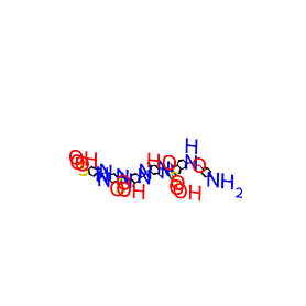 Cc1cc(N=Nc2c(SOOO)cc3cc(NCOc4ccc(N)cc4)ccc3c2O)c(C)cc1N=Nc1ccc(N=Nc2cc3nn(-c4ccc(SOOO)cc4)nc3cc2S(=O)(=O)O)c(C)c1